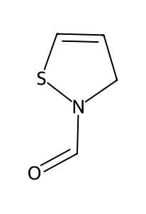 O=CN1CC=CS1